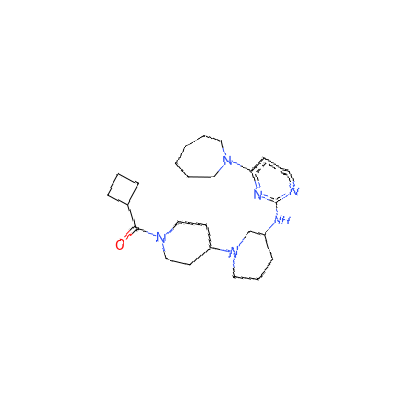 O=C(C1CCC1)N1CCC(N2CCCC(Nc3nccc(N4CCCCCC4)n3)C2)CC1